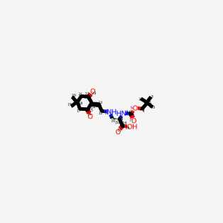 CC(C)(C)COC(=O)N[C@@H](CNCC=C1C(=O)CC(C)(C)CC1=O)C(=O)O